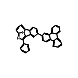 c1ccc(-c2nc3cccc4c5ccc(-c6ccc7c8ccccc8c8ccccc8c7c6)cc5c2n34)cc1